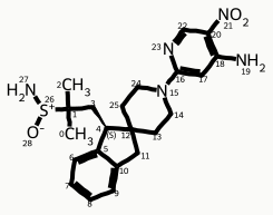 CC(C)(C[C@@H]1c2ccccc2CC12CCN(c1cc(N)c([N+](=O)[O-])cn1)CC2)[S+](N)[O-]